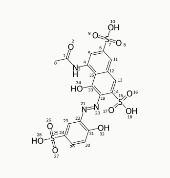 CC(=O)Nc1cc(S(=O)(=O)O)cc2cc(S(=O)(=O)O)c(N=Nc3cc(S(=O)(=O)O)ccc3O)c(O)c12